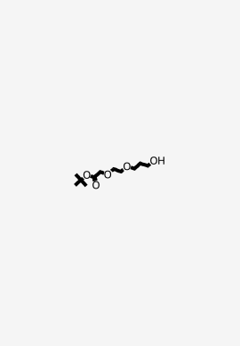 CC(C)(C)OC(=O)COCCOCCCO